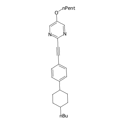 CCCCCOc1cnc(C#Cc2ccc(C3CCC(CCCC)CC3)cc2)nc1